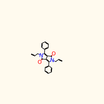 C=CCN1C(=O)C2=C(c3ccccc3)N(CC=C)C(=O)C2=C1c1ccccc1